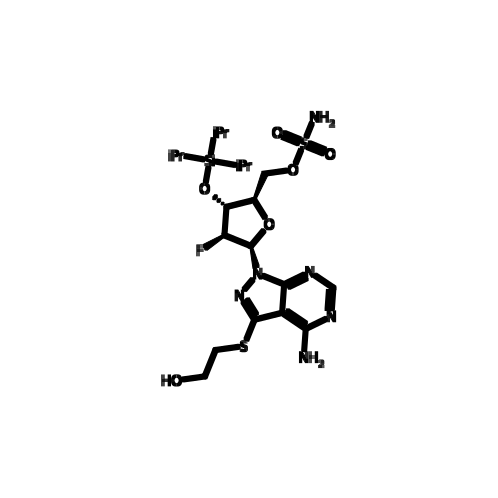 CC(C)[Si](O[C@H]1[C@H](F)[C@H](n2nc(SCCO)c3c(N)ncnc32)O[C@@H]1COS(N)(=O)=O)(C(C)C)C(C)C